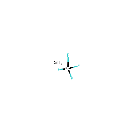 F[Si](F)(F)F.[SiH4]